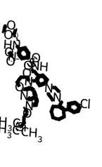 C[Si](C)(C)CCOCn1ccc2cc3c(nc21)OCCCN3c1cc(N2CCN(CC3=C(c4ccc(Cl)cc4)CCCCC3)CC2)ccc1C(=O)NS(=O)(=O)c1ccc(NC[C@H]2COCCO2)c([N+](=O)[O-])c1